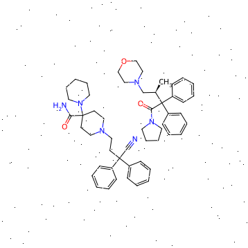 C[C@H](CN1CCOCC1)C(C(=O)N1CCCC1)(c1ccccc1)c1ccccc1.N#CC(CCN1CCC(C(N)=O)(N2CCCCC2)CC1)(c1ccccc1)c1ccccc1